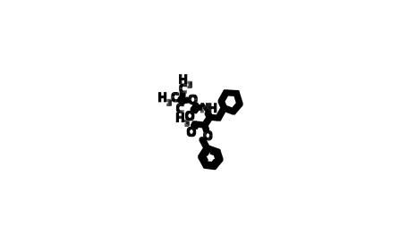 CC(C)(C)OC(=O)NC(CC1CCCCC1)C(C=O)OCc1ccccc1